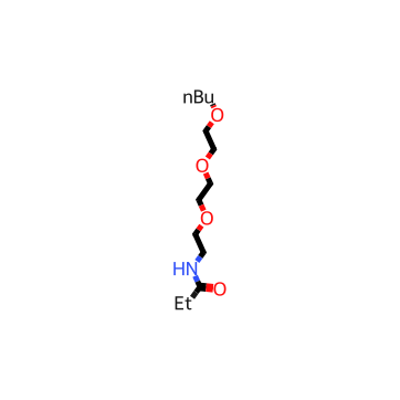 CCCCOCCOCCOCCNC(=O)CC